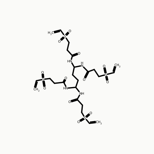 C=CS(=O)(=O)CCC(=O)NC(CCC(NC(=O)CCS(=O)(=O)C=C)NC(=O)CCS(=O)(=O)C=C)NC(=O)CCS(=O)(=O)C=C